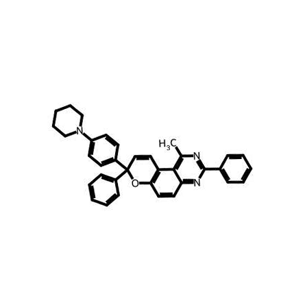 Cc1nc(-c2ccccc2)nc2ccc3c(c12)C=CC(c1ccccc1)(c1ccc(N2CCCCC2)cc1)O3